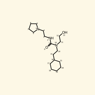 O=C(NCCN1CCCC1)N(CCO)CCC1CCCCC1